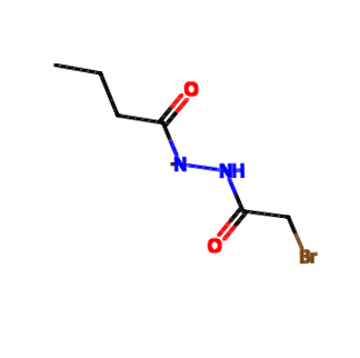 CCCC(=O)[N]NC(=O)CBr